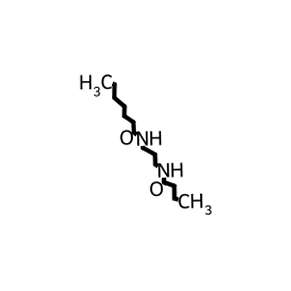 CCCCCCC(=O)NCCCNC(=O)CCC